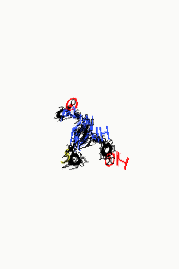 O=C1CCCN1CCn1cnc2c(NCCc3ccc(O)cc3)nc(-c3csc4ccccc34)nc21